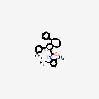 CCC(C(=O)Nc1c(C)cccc1C)C1CCCCCC(c2ccccc2)C1CCc1cccc(C)c1